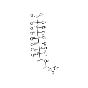 ClC(Cl)C(Cl)(Cl)C(Cl)(Cl)C(Cl)(Cl)C(Cl)(Cl)C(Cl)(Cl)C(Cl)(Cl)C(Cl)(Cl)COCC1CO1